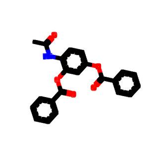 CC(=O)Nc1ccc(OC(=O)c2ccccc2)cc1OC(=O)c1ccccc1